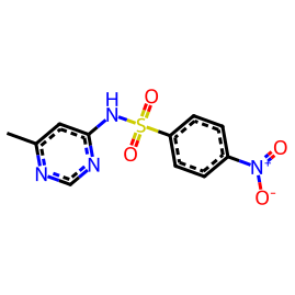 Cc1cc(NS(=O)(=O)c2ccc([N+](=O)[O-])cc2)ncn1